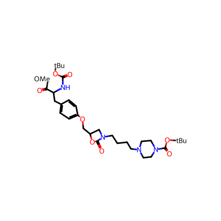 COC(=O)C(Cc1ccc(OCC2CN(CCCCN3CCN(C(=O)OC(C)(C)C)CC3)C(=O)O2)cc1)NC(=O)OC(C)(C)C